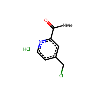 CNC(=O)c1cc(CCl)ccn1.Cl